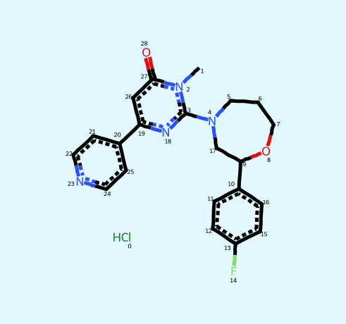 Cl.Cn1c(N2CCCOC(c3ccc(F)cc3)C2)nc(-c2ccncc2)cc1=O